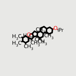 CC(C)OC1CC[C@@]2(C)C(CCC3C2CC(C)[C@@]2(C)C3(C)CC3OC4(CC(C)C(C)C(C)C4)[C@@H](C)C32C)C1